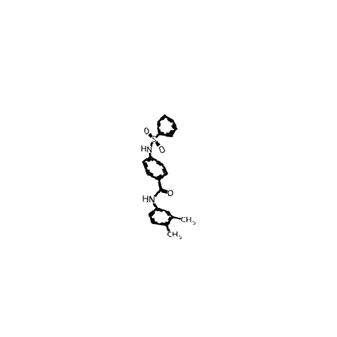 Cc1ccc(NC(=O)c2ccc(NS(=O)(=O)c3ccccc3)cc2)cc1C